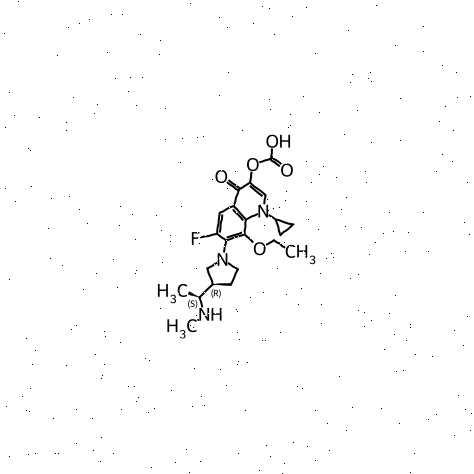 CCOc1c(N2CC[C@@H]([C@H](C)NC)C2)c(F)cc2c(=O)c(OC(=O)O)cn(C3CC3)c12